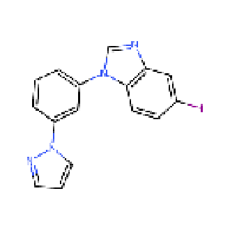 Ic1ccc2c(c1)ncn2-c1cccc(-n2cccn2)c1